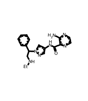 CCNCC(c1ccccc1)n1cc(NC(=O)c2nccnc2N)cn1